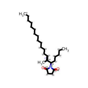 CCCCCCCCCCCCC/C=C(\C)C(CCCCC)N1C(=O)CCC1=O